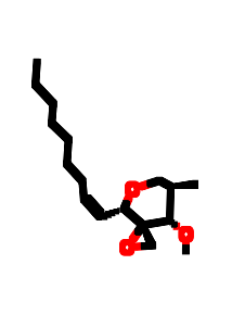 CCCCCCC/C=C\[C@@H]1OC[C@@H](C)[C@H](OC)[C@@]12CO2